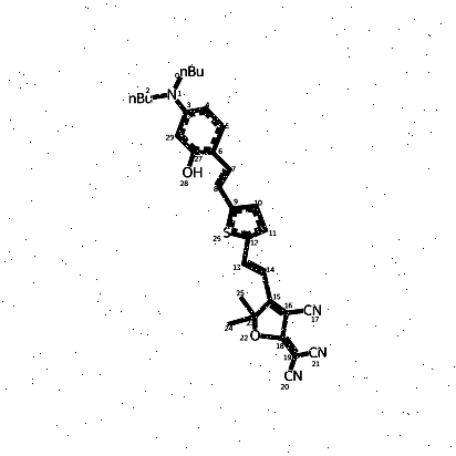 CCCCN(CCCC)c1ccc(/C=C/c2ccc(/C=C/C3=C(C#N)C(=C(C#N)C#N)OC3(C)C)s2)c(O)c1